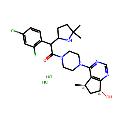 C[C@@H]1C[C@@H](O)c2ncnc(N3CCN(C(=O)C(c4ccc(Cl)cc4F)C4CCC(C)(C)N4)CC3)c21.Cl.Cl